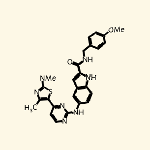 CNc1nc(C)c(-c2ccnc(Nc3ccc4[nH]c(C(=O)NCc5ccc(OC)cc5)cc4c3)n2)s1